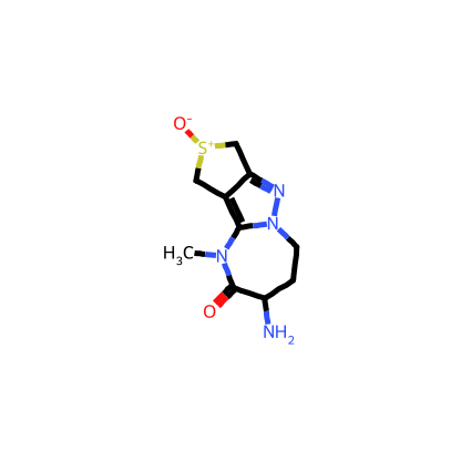 CN1C(=O)C(N)CCn2nc3c(c21)C[S+]([O-])C3